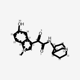 Cn1cc(C(=O)C(=O)NC2CN3CCC2CC3)c2cc(O)ccc21